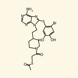 CC(=O)SCC(=O)N1CCC(CCn2c(Sc3cc(O)c(O)cc3Br)nc3c(N)ncnc32)CC1